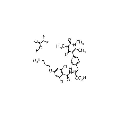 Cc1c(-c2ccc(C[C@H](NC(=O)c3c(Cl)cc(OCCCN)cc3Cl)C(=O)O)cc2)c(=O)n(C)c(=O)n1C.O=C(OF)C(F)F